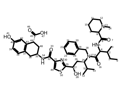 CCC(C)C(NC(=O)C1CCCCN1C)C(=O)N(Cc1ccccc1)[C@H](C[C@@H](O)c1nc(C(=O)N[C@H]2Cc3ccc(O)cc3[C@H](C(=O)O)C2)cs1)C(C)C